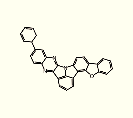 C1=CCC(c2ccc3nc4c5cccc6c7c8oc9ccccc9c8ccc7n(c4nc3c2)c56)C=C1